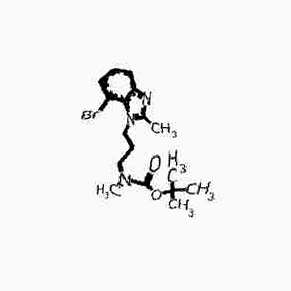 Cc1nc2cccc(Br)c2n1CCCN(C)C(=O)OC(C)(C)C